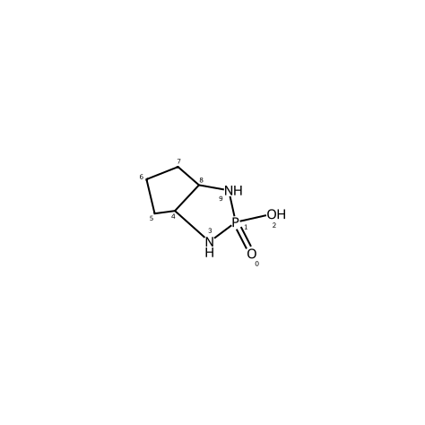 O=P1(O)NC2CCCC2N1